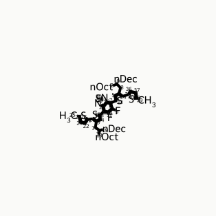 CCCCCCCCCCC(CCCCCCCC)Cc1cc(-c2c(F)c(F)c(-c3cc(CC(CCCCCCCC)CCCCCCCCCC)c(-c4ccc(C)s4)s3)c3nsnc23)sc1-c1ccc(C)s1